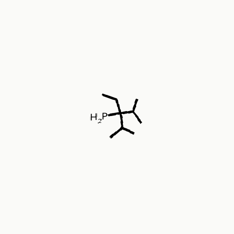 CCC(P)(C(C)C)C(C)C